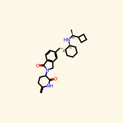 C=C1CCC(N2Cc3cc(C[C@H]4CCCC[C@@H]4N[C@@H](C)C4CCC4)ccc3C2=O)C(=O)N1